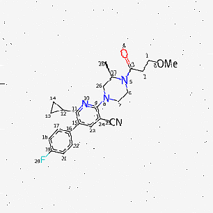 COCCC(=O)N1CCN(c2nc(C3CC3)c(-c3ccc(F)cc3)cc2C#N)C[C@H]1C